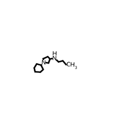 CCCCNC1CCN(C2CCCCC2)C1